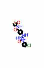 O=C(N[C@@H]1CCSC1=O)c1ccc(Nc2nn(-c3cccc(Cl)c3)c(=O)[nH]2)cc1